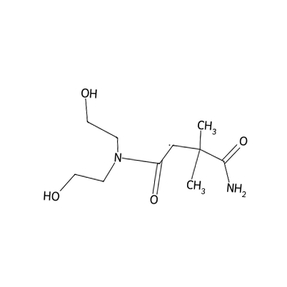 CC(C)([CH]C(=O)N(CCO)CCO)C(N)=O